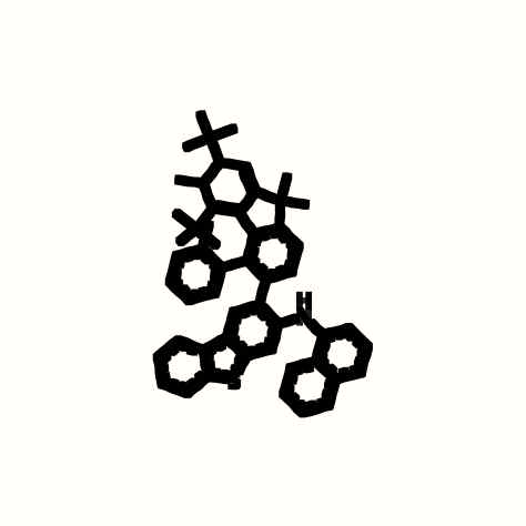 Cc1ccccc1-c1c(-c2cc3c(cc2Nc2cccc4ccccc24)sc2ccccc23)ccc2c1C1=C(C(C)(C)C)C(C)C(C(C)(C)C)C=C1C2(C)C